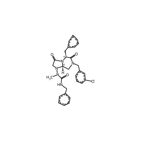 CN(C(=O)NCc1ccccc1)N1CC(=O)N2[C@@H](Cc3ccccc3)C(=O)N(Cc3cccc(Cl)c3)C[C@@H]21